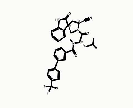 CC(C)C[C@@H](C(=O)N1C[C@]2(C[C@H]1C#N)C(=O)Nc1ccccc12)N(C)C(=O)c1cccc(-c2ccc(C(F)(F)F)cc2)c1